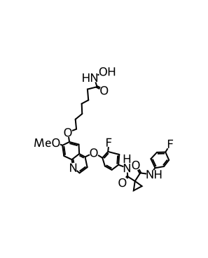 COc1cc2nccc(Oc3ccc(NC(=O)C4(C(=O)Nc5ccc(F)cc5)CC4)cc3F)c2cc1OCCCCCCC(=O)NO